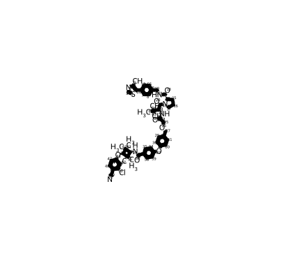 Cc1ncsc1-c1ccc(CNC(=O)[C@@H]2CCCN2C(=O)[C@@H](NC(=O)COCc2ccc(Oc3ccc(C(=O)N[C@H]4C(C)(C)[C@H](Oc5ccc(C#N)c(Cl)c5)C4(C)C)cc3)cc2)C(C)(C)C)cc1